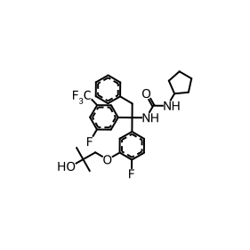 CC(C)(O)COc1cc(C(Cc2ccccc2)(NC(=O)NC2CCCC2)c2cc(F)cc(C(F)(F)F)c2)ccc1F